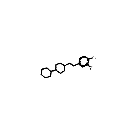 Fc1cc(CCC2CCC(C3CC[CH]CC3)CC2)ccc1Cl